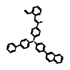 C=Cc1ccccc1/C=C(\C)c1ccc(N(c2ccc(-c3ccccc3)cc2)c2ccc(-c3ccc4ccccc4c3)cc2)cc1